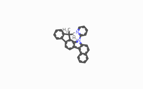 CC1(C)c2ccccc2-c2ccc3c4c5ccccc5ccc4n(-c4ccccn4)c3c21